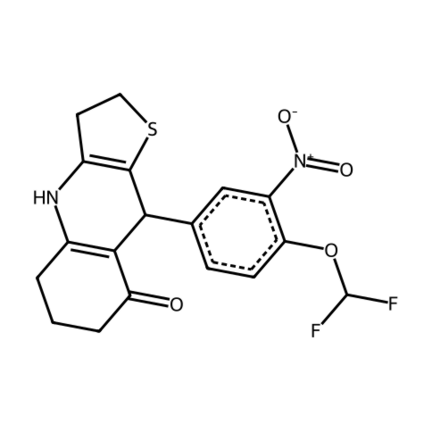 O=C1CCCC2=C1C(c1ccc(OC(F)F)c([N+](=O)[O-])c1)C1=C(CCS1)N2